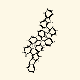 c1ccc([Si](c2ccccc2)(c2nccc3c2oc2c(-c4cccc5c4sc4ccccc45)cccc23)c2cccc3c2sc2c(-c4cccc5c4oc4ccccc45)nccc23)cc1